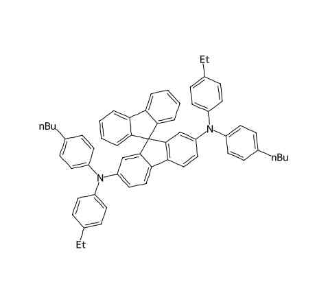 CCCCc1ccc(N(c2ccc(CC)cc2)c2ccc3c(c2)C2(c4ccccc4-c4ccccc42)c2cc(N(c4ccc(CC)cc4)c4ccc(CCCC)cc4)ccc2-3)cc1